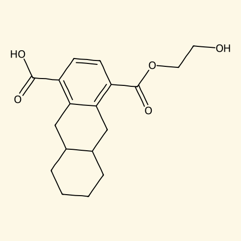 O=C(O)c1ccc(C(=O)OCCO)c2c1CC1CCCCC1C2